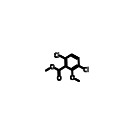 COC(=O)c1c(Cl)ccc(Cl)c1OC